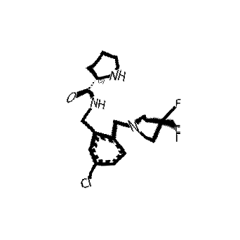 O=C(NCc1cc(Cl)ccc1CN1CC(F)(F)C1)[C@@H]1CCCN1